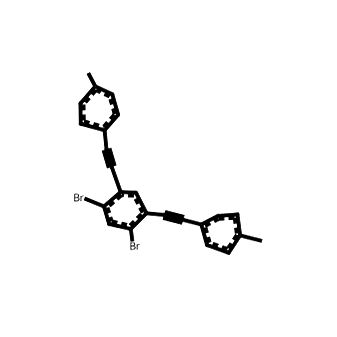 Cc1ccc(C#Cc2cc(C#Cc3ccc(C)cc3)c(Br)cc2Br)cc1